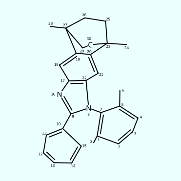 Cc1cccc(C)c1-n1c(-c2ccccc2)nc2cc3c(cc21)C1(C)CCC3(C)CC1